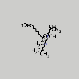 CCCCCCCCCCCCCCCCCCC(=O)OC(/C=C(\C)CCC=C(C)C)C/C=C(\C)CCC=C(C)C